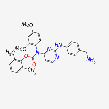 COc1ccc(N(C(=O)Oc2c(C)cccc2C)c2ccnc(Nc3ccc(CN)cc3)n2)c(OC)c1